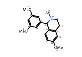 COc1cc(OC)cc(C2c3ccc(OC)cc3CCN2C(C)=O)c1